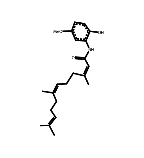 COc1ccc(O)c(NC(=O)C=C(C)CCC=C(C)CCC=C(C)C)c1